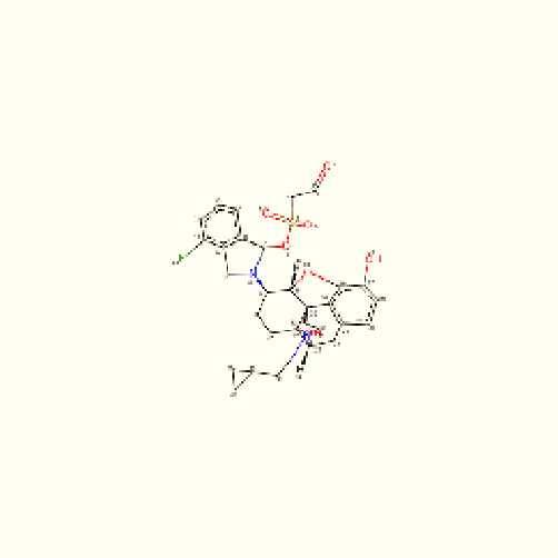 O=CCS(=O)(=O)OC1c2cccc(F)c2CN1[C@@H]1CC[C@@]2(O)[C@H]3Cc4ccc(O)c5c4[C@@]2(CCN3CC2CC2)[C@H]1O5